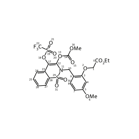 CCOC(=O)COc1cc(OC)ccc1CN1C(OC(=O)OC)=C(OS(=O)(=O)C(F)(F)F)c2ccccc2S1(=O)=O